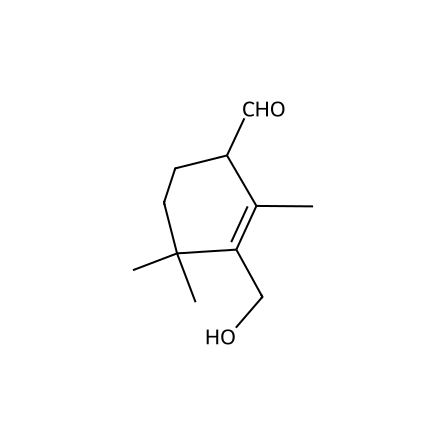 CC1=C(CO)C(C)(C)CCC1C=O